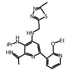 CCOc1ncccc1-c1cc(NCc2nnc(C)s2)c(NC(C)C)c(C(C)=N)n1